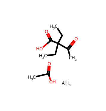 CC(=O)O.CCC(CC)(C(C)=O)C(=O)O.[AlH3]